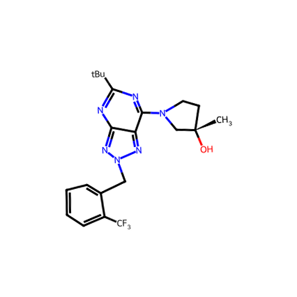 CC(C)(C)c1nc(N2CC[C@](C)(O)C2)c2nn(Cc3ccccc3C(F)(F)F)nc2n1